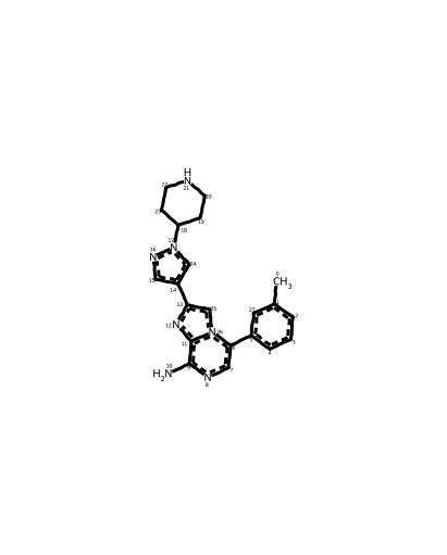 Cc1cccc(-c2cnc(N)c3nc(-c4cnn(C5CCNCC5)c4)cn23)c1